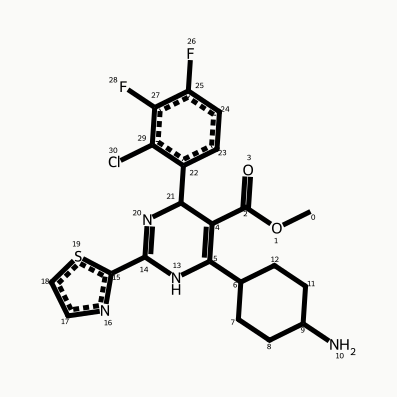 COC(=O)C1=C(C2CCC(N)CC2)NC(c2nccs2)=NC1c1ccc(F)c(F)c1Cl